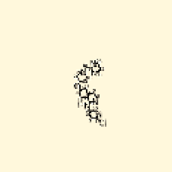 Clc1ccc(Nc2nccc3cc(OC4CCN(Cc5ncccn5)CC4)ccc23)cn1